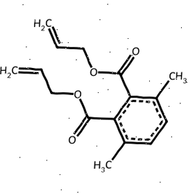 C=CCOC(=O)c1c(C)ccc(C)c1C(=O)OCC=C